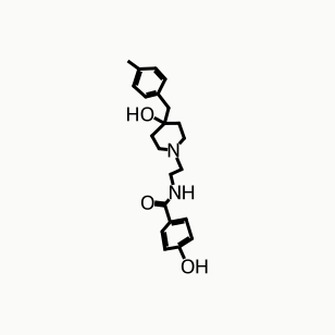 Cc1ccc(CC2(O)CCN(CCNC(=O)c3ccc(O)cc3)CC2)cc1